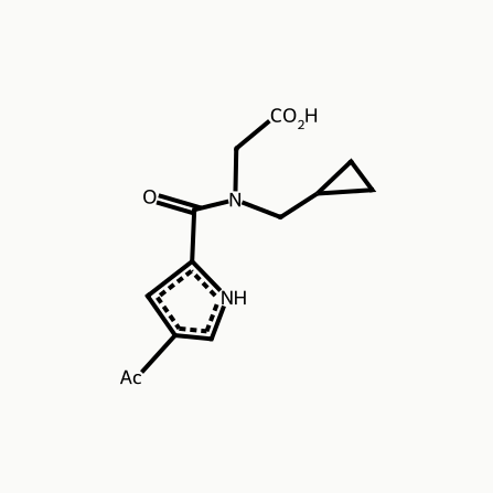 CC(=O)c1c[nH]c(C(=O)N(CC(=O)O)CC2CC2)c1